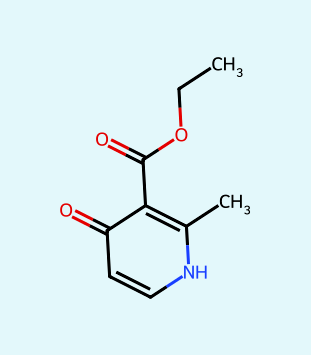 CCOC(=O)c1c(C)[nH]ccc1=O